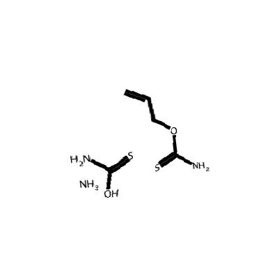 C=CCOC(N)=S.N.NC(O)=S